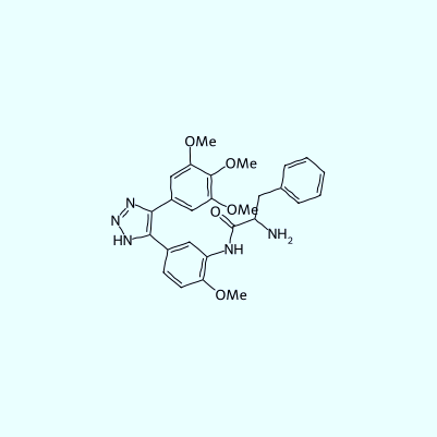 COc1ccc(-c2[nH]nnc2-c2cc(OC)c(OC)c(OC)c2)cc1NC(=O)C(N)Cc1ccccc1